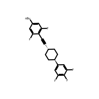 CCCCc1cc(F)c(C#C[C@H]2CC[C@H](c3cc(F)c(F)c(F)c3)CC2)c(F)c1